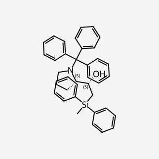 C[Si](C[C@@H](O)[C@@H]1CCCN1C(c1ccccc1)(c1ccccc1)c1ccccc1)(c1ccccc1)c1ccccc1